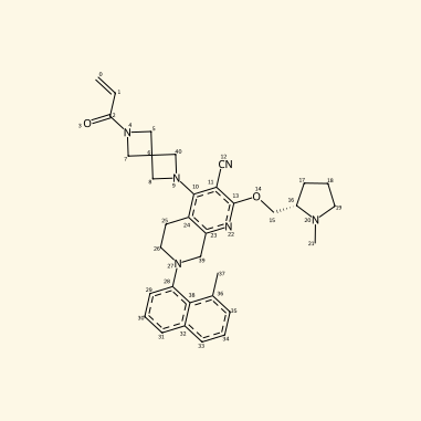 C=CC(=O)N1CC2(C1)CN(c1c(C#N)c(OC[C@@H]3CCCN3C)nc3c1CCN(c1cccc4cccc(C)c14)C3)C2